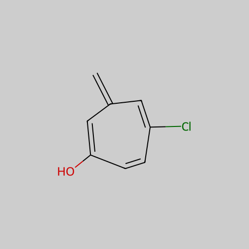 C=C1C=C(O)C=CC(Cl)=C1